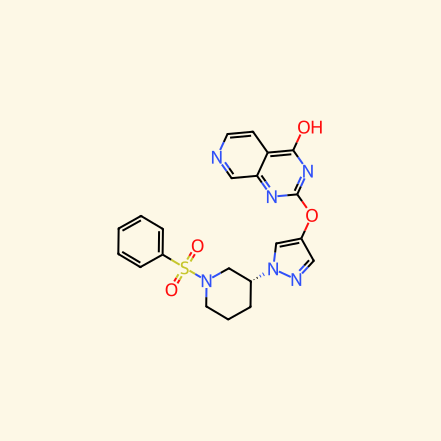 O=S(=O)(c1ccccc1)N1CCC[C@@H](n2cc(Oc3nc(O)c4ccncc4n3)cn2)C1